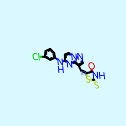 O=C1NC(=S)S/C1=C/c1cnn2ccc(Nc3cccc(Cl)c3)nc12